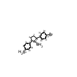 Bc1ccc(C2CCC(c3ccc(Br)cc3)N2B)cc1